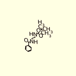 CC(C)(C)OC(=O)NCCNC(=O)c1ccccc1